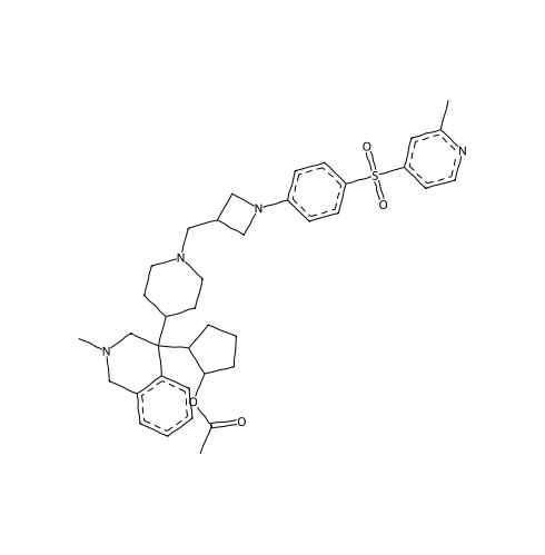 CC(=O)OC1CCCC1C1(C2CCN(CC3CN(c4ccc(S(=O)(=O)c5ccnc(C)c5)cc4)C3)CC2)CN(C)Cc2ccccc21